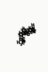 COC(=O)Cc1cccc2c1C[C@H]1C2CCCN1C(=O)c1ccc2[nH]cnc2c1